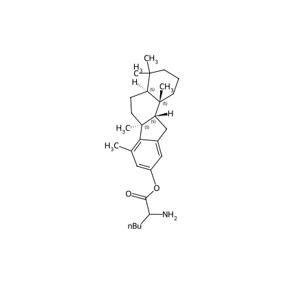 CCCCC(N)C(=O)Oc1cc(C)c2c(c1)C[C@H]1[C@@]3(C)CCCC(C)(C)[C@@H]3CC[C@]21C